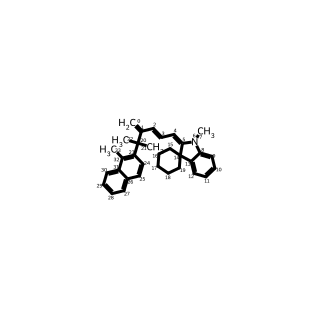 C=C(/C=C/C=C1/N(C)c2ccccc2C12CCCCC2)C(C)(C)c1ccc2ccccc2c1C